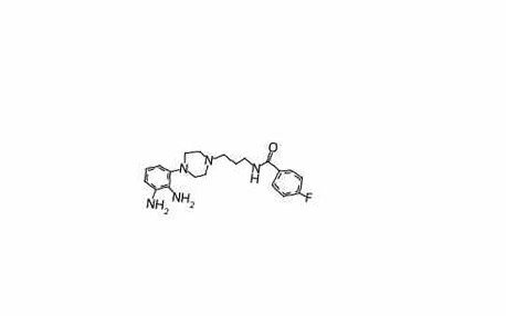 Nc1cccc(N2CCN(CCCNC(=O)c3ccc(F)cc3)CC2)c1N